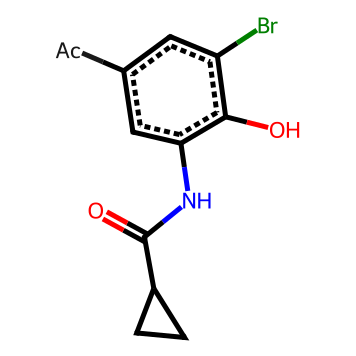 CC(=O)c1cc(Br)c(O)c(NC(=O)C2CC2)c1